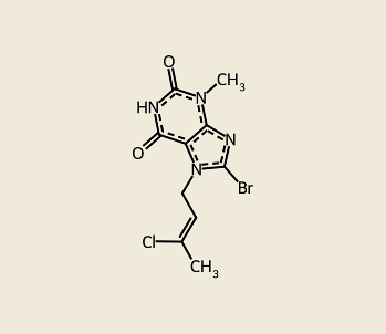 CC(Cl)=CCn1c(Br)nc2c1c(=O)[nH]c(=O)n2C